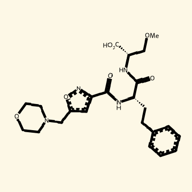 COC[C@H](NC(=O)[C@H](CCc1ccccc1)NC(=O)c1cc(CN2CCOCC2)on1)C(=O)O